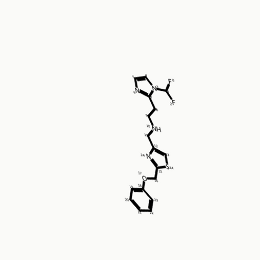 FC(F)n1ccnc1CCNCc1csc(COc2ccccc2)n1